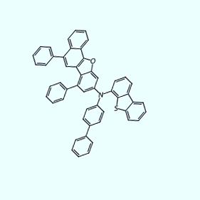 c1ccc(-c2ccc(N(c3cc(-c4ccccc4)c4c(c3)oc3c5ccccc5c(-c5ccccc5)cc34)c3cccc4c3sc3ccccc34)cc2)cc1